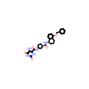 Nc1c(C(=O)N[C@H]2CC[C@@H](C(=O)N[C@@H]3CCCc4c(OCc5ccccc5)cccc43)C2)[nH]c(=O)[nH]c1=O